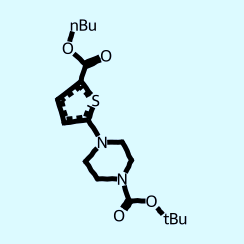 CCCCOC(=O)c1ccc(N2CCN(C(=O)OC(C)(C)C)CC2)s1